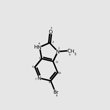 Cn1c(=O)[nH]c2cnc(Br)cc21